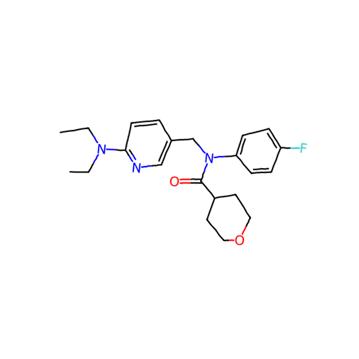 CCN(CC)c1ccc(CN(C(=O)C2CCOCC2)c2ccc(F)cc2)cn1